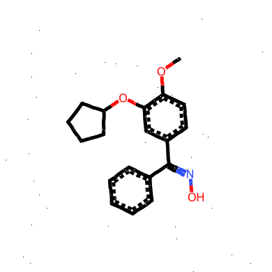 COc1ccc(C(=NO)c2ccccc2)cc1OC1CCCC1